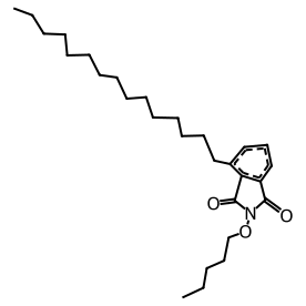 CCCCCCCCCCCCCCCc1cccc2c1C(=O)N(OCCCCC)C2=O